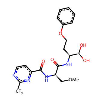 COC[C@@H](NC(=O)c1ccnc(C(F)(F)F)n1)C(=O)N[C@@H](CCOc1ccccc1)B(O)O